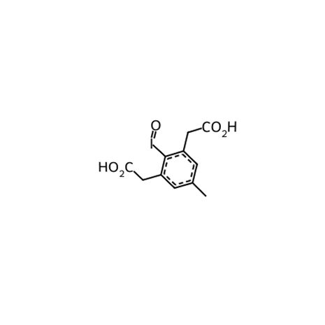 Cc1cc(CC(=O)O)c(I=O)c(CC(=O)O)c1